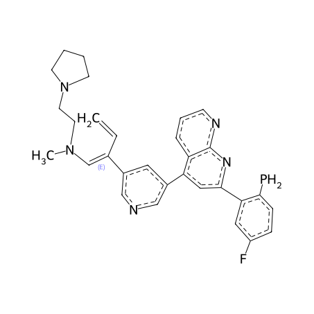 C=C/C(=C\N(C)CCN1CCCC1)c1cncc(-c2cc(-c3cc(F)ccc3P)nc3ncccc23)c1